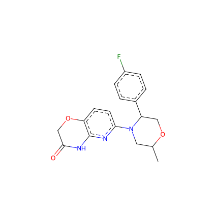 CC1CN(c2ccc3c(n2)NC(=O)CO3)C(c2ccc(F)cc2)CO1